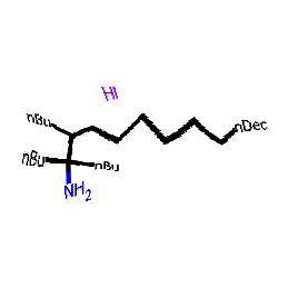 CCCCCCCCCCCCCCCCC(CCCC)C(N)(CCCC)CCCC.I